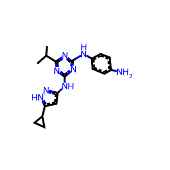 CC(C)c1nc(Nc2ccc(N)cc2)nc(Nc2cc(C3CC3)[nH]n2)n1